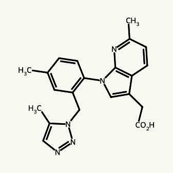 Cc1ccc(-n2cc(CC(=O)O)c3ccc(C)nc32)c(Cn2nncc2C)c1